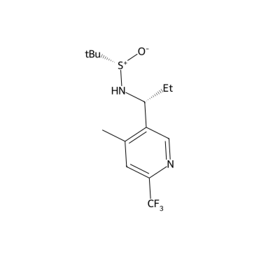 CC[C@@H](N[S@@+]([O-])C(C)(C)C)c1cnc(C(F)(F)F)cc1C